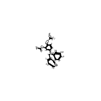 FC(F)Oc1ccc(N(Cc2cccnc2)c2ccccc2)cc1OC(F)F